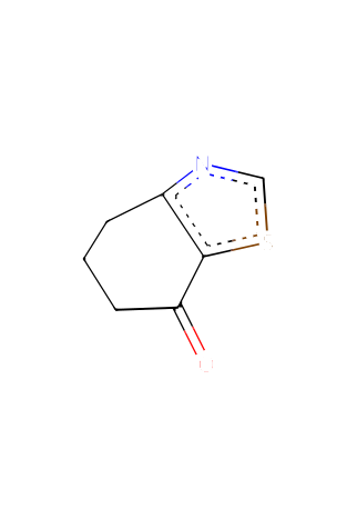 O=C1CCCc2n[c]sc21